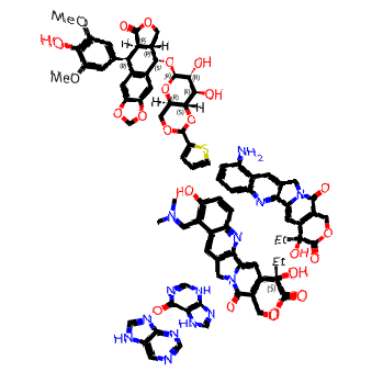 CCC1(O)C(=O)OCc2c1cc1n(c2=O)Cc2cc3c(N)cccc3nc2-1.CC[C@@]1(O)C(=O)OCc2c1cc1n(c2=O)Cc2cc3c(CN(C)C)c(O)ccc3nc2-1.COc1cc([C@@H]2c3cc4c(cc3[C@@H](O[C@@H]3O[C@@H]5COC(c6cccs6)O[C@H]5[C@H](O)[C@H]3O)[C@H]3COC(=O)[C@H]23)OCO4)cc(OC)c1O.O=c1nc[nH]c2nc[nH]c12.c1ncc2[nH]cnc2n1